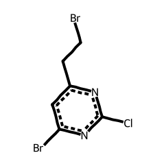 Clc1nc(Br)cc(CCBr)n1